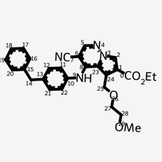 CCOC(=O)c1cn2ncc(C#N)c(Nc3ccc(Cc4ccccc4)cc3)c2c1COCCOC